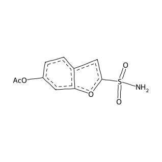 CC(=O)Oc1ccc2cc(S(N)(=O)=O)oc2c1